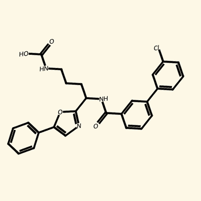 O=C(O)NCCCC(NC(=O)c1cccc(-c2cccc(Cl)c2)c1)c1ncc(-c2ccccc2)o1